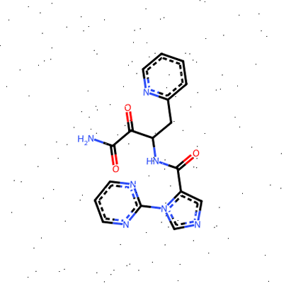 NC(=O)C(=O)C(Cc1ccccn1)NC(=O)c1cncn1-c1ncccn1